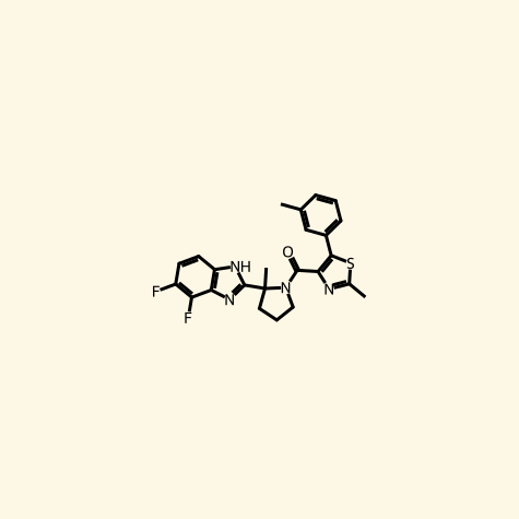 Cc1cccc(-c2sc(C)nc2C(=O)N2CCCC2(C)c2nc3c(F)c(F)ccc3[nH]2)c1